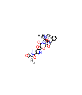 COc1ccccc1CNC(=O)C1(C)COc2c(oc3cc(C(=O)NC4(C)COC4)cnc23)C(=O)N1CC(=O)N(C)C